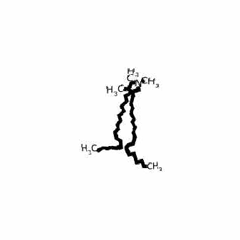 CCCCC/C=C\C/C=C\CCCCCCCCC1(CCCCCCCC/C=C\C/C=C\CCCCC)CN(C)C(C)C1C